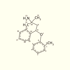 Cc1ccccc1OC(CC(C)(C)N)c1ccccc1